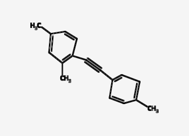 Cc1ccc(C#Cc2ccc(C)cc2C)cc1